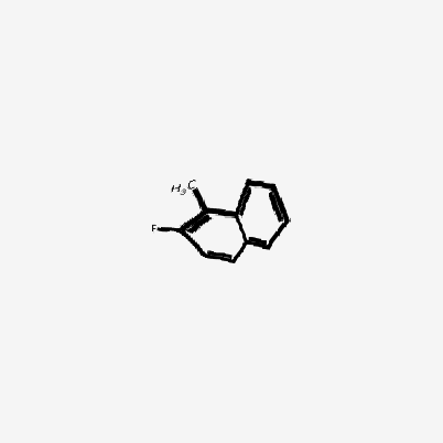 Cc1c(F)ccc2ccccc12